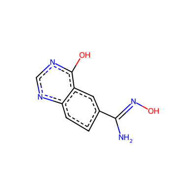 NC(=NO)c1ccc2ncnc(O)c2c1